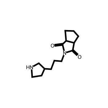 O=C1C2CCCC2C(=O)N1CCCC1CCNC1